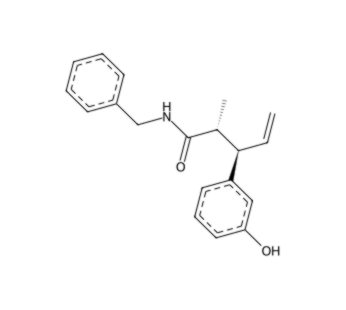 C=C[C@@H](c1cccc(O)c1)[C@@H](C)C(=O)NCc1ccccc1